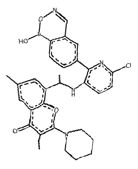 Cc1cc(C(C)Nc2ccc(Cl)nc2-c2ccc3c(c2)C=NOB3O)c2oc(N3CCCCC3)c(C)c(=O)c2c1